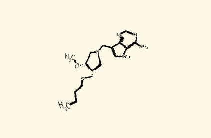 CCCCSC[C@H]1CN(Cc2c[nH]c3c(N)ncnc23)C[C@H]1OC